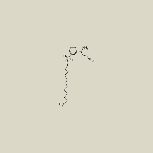 CCCCCCCCCCCCOS(=O)(=O)c1cccc(C(N)CCN)c1